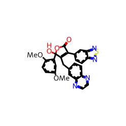 COc1ccc(OC)c(C2(O)OC(=O)C(c3ccc4nsnc4c3)=C2Cc2ccc3nccnc3c2)c1